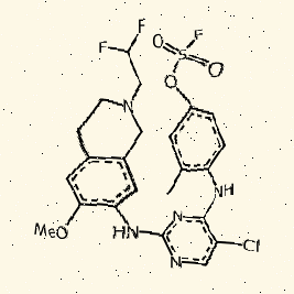 COc1cc2c(cc1Nc1ncc(Cl)c(Nc3ccc(OS(=O)(=O)F)cc3C)n1)CN(CC(F)F)CC2